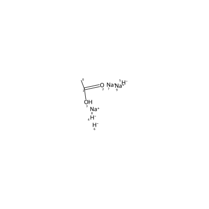 CC(=O)O.[H-].[H-].[H-].[Na+].[Na+].[Na+]